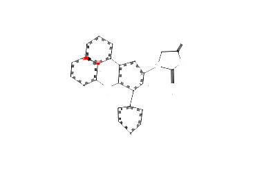 O=C1CN(c2cc(-c3ccccc3)c(Oc3ccccc3)c(-c3ccccc3)c2)C(=S)N1